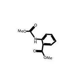 COC(=O)Nc1ccccc1C(=O)OC